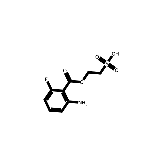 Nc1cccc(F)c1C(=O)OCCS(=O)(=O)O